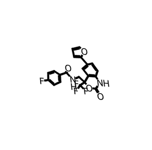 O=C1Nc2ccc(-c3ccco3)cc2C(CNC(=O)c2ccc(F)cc2)(C(F)(F)F)O1